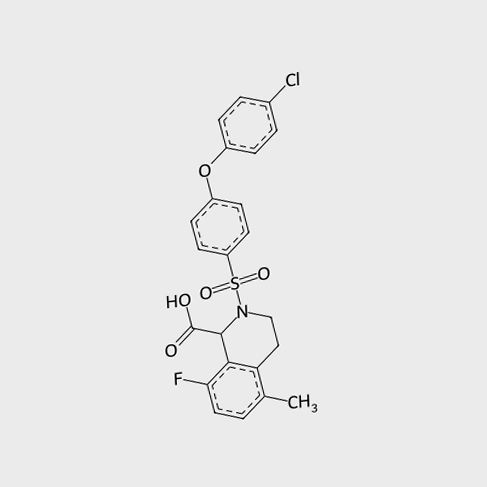 Cc1ccc(F)c2c1CCN(S(=O)(=O)c1ccc(Oc3ccc(Cl)cc3)cc1)C2C(=O)O